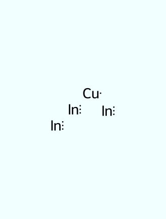 [Cu].[In].[In].[In]